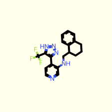 FC(F)(F)c1[nH]nnc1-c1ccncc1NCC1CCCc2ccccc21